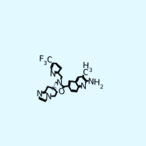 Cc1cc2cc(C(=O)N(Cc3ccc(C(F)(F)F)cn3)C[C@@H]3CCn4ccnc4C3)ccc2nc1N